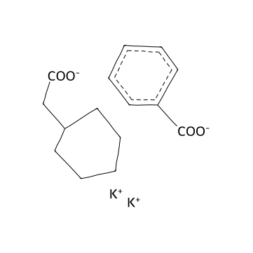 O=C([O-])CC1CCCCC1.O=C([O-])c1ccccc1.[K+].[K+]